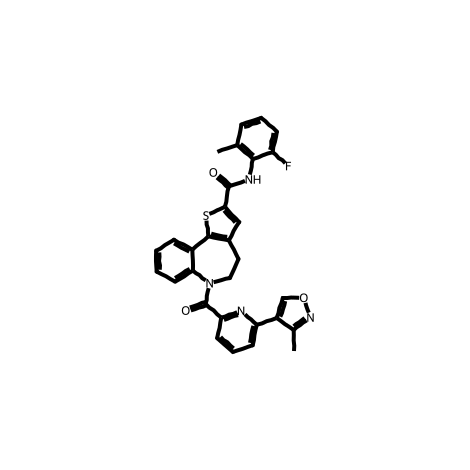 Cc1cccc(F)c1NC(=O)c1cc2c(s1)-c1ccccc1N(C(=O)c1cccc(-c3conc3C)n1)CC2